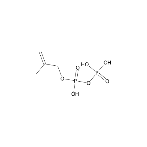 C=C(C)COP(=O)(O)OP(=O)(O)O